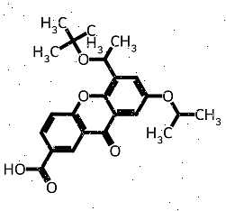 CC(C)Oc1cc(C(C)OC(C)(C)C)c2oc3ccc(C(=O)O)cc3c(=O)c2c1